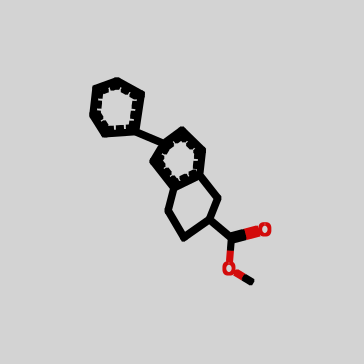 COC(=O)C1CCc2cc(-c3ccccc3)ccc2C1